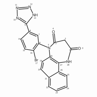 O=C1CC(=O)N(c2cc(-c3nnn[nH]3)ccc2Br)c2ccc3ccccc3c2N1